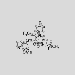 COC(=O)c1ncccc1COc1cc2c(cc1C(F)(F)F)N(c1ccc(F)cc1)C[C@H](CCC(C)(F)F)[C@H](F)S2(=O)=O